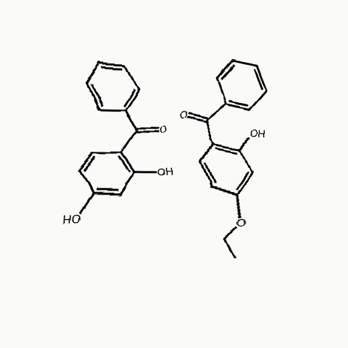 CCOc1ccc(C(=O)c2ccccc2)c(O)c1.O=C(c1ccccc1)c1ccc(O)cc1O